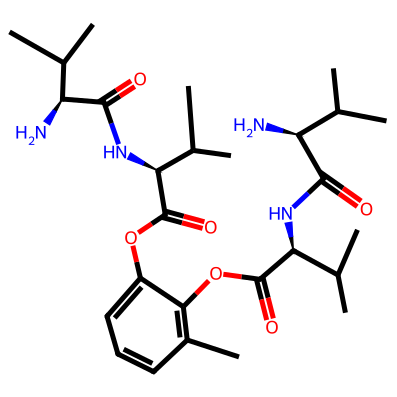 Cc1cccc(OC(=O)[C@@H](NC(=O)[C@@H](N)C(C)C)C(C)C)c1OC(=O)[C@@H](NC(=O)[C@@H](N)C(C)C)C(C)C